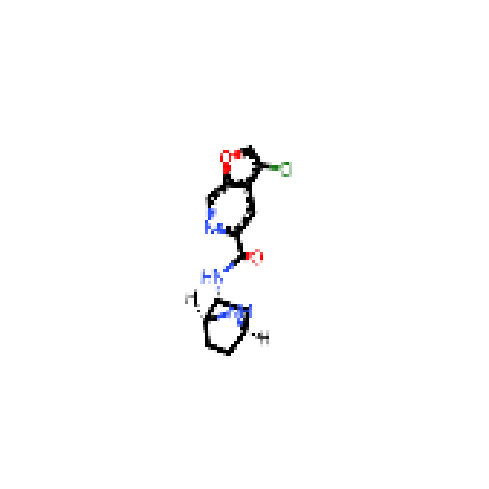 O=C(N[C@@H]1C[C@H]2CC[C@@H]1N2)c1cc2c(Cl)coc2cn1